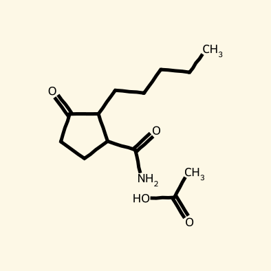 CC(=O)O.CCCCCC1C(=O)CCC1C(N)=O